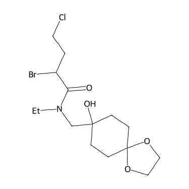 CCN(CC1(O)CCC2(CC1)OCCO2)C(=O)C(Br)CCCl